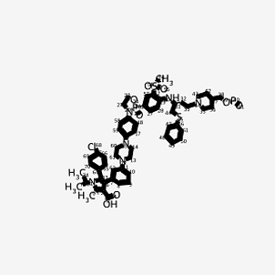 Cc1c(C(=O)O)c(-c2cccc(N3CCN(c4ccc(N5CCO[P@]5(=O)c5ccc(N[C@H](CCN6CCC(COP=O)CC6)CSc6ccccc6)c(S(C)(=O)=O)c5)cc4)CC3)c2)c(-c2ccc(Cl)cc2)n1C(C)C